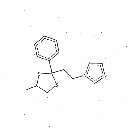 CC1CSC(CCn2ccnc2)(c2ccccc2)S1